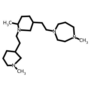 CC1CCC(CCN2CCCN(C)CC2)CN1CCC1CCCN(C)C1